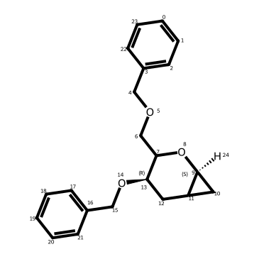 c1ccc(COCC2O[C@H]3CC3C[C@H]2OCc2ccccc2)cc1